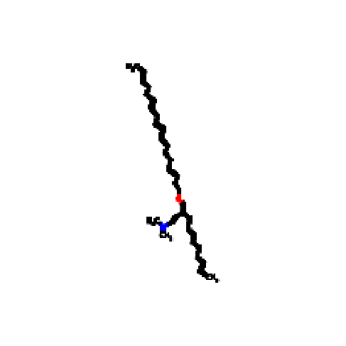 CCCCCC=CCC=CCCCCCCCCOCC(CCCCCCCCC)CCN(C)C